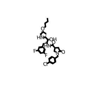 CCCCO[C@H]1CN[C@@H]([C@@H](O)[C@H](Cc2cc(F)cc(F)c2)NC(=O)C2CC(=O)N(Cc3ccc(Cl)cc3)C2)C1